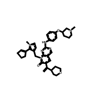 C=C(c1cc2cnc(Nc3ccc(OC4CCCN(C)C4)cc3)nc2n(Cc2ccn(C)c2C2=CCCC2)c1=O)C1CCOCC1